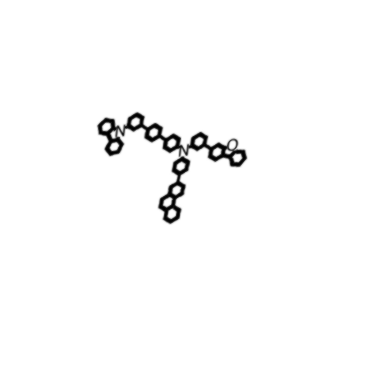 c1cc(-c2ccc3c(c2)oc2ccccc23)cc(N(c2ccc(-c3ccc(-c4cccc(-n5c6ccccc6c6ccccc65)c4)cc3)cc2)c2ccc(-c3ccc4c(ccc5ccccc54)c3)cc2)c1